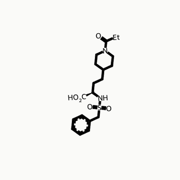 CCC(=O)N1CCC(CC[C@@H](NS(=O)(=O)Cc2ccccc2)C(=O)O)CC1